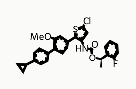 COc1cc(-c2sc(Cl)cc2NC(=O)O[C@H](C)c2ccccc2F)ccc1-c1ccc(C2CC2)cc1